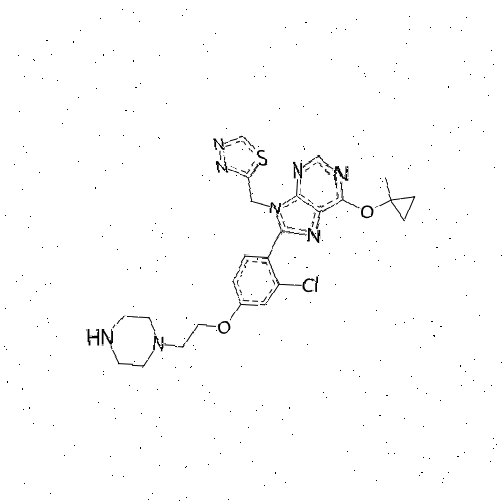 CC1(Oc2ncnc3c2nc(-c2ccc(OCCN4CCNCC4)cc2Cl)n3Cc2nncs2)CC1